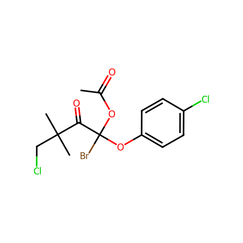 CC(=O)OC(Br)(Oc1ccc(Cl)cc1)C(=O)C(C)(C)CCl